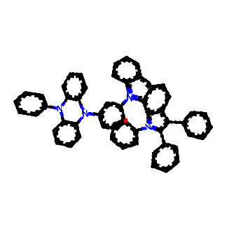 c1ccc(-c2c(-c3ccccc3)n(-c3ccccc3)c3c2ccc2c4ccccc4n(-c4cccc(N5c6ccccc6N(c6ccccc6)c6ccccc65)c4)c23)cc1